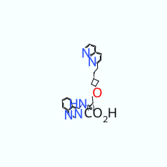 O=C(O)[C@H](CCO[C@H]1C[C@H](CCc2ccc3cccnc3n2)C1)Nc1ncnc2ccccc12